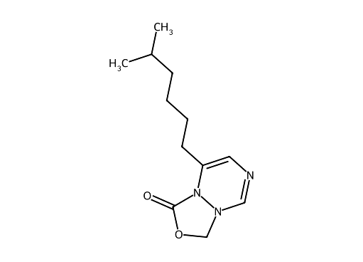 CC(C)CCCCC1=CN=CN2COC(=O)N12